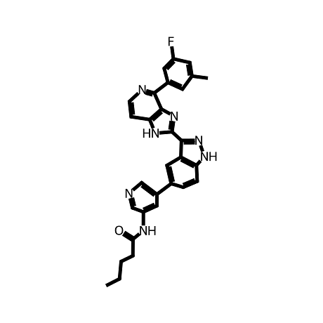 CCCCC(=O)Nc1cncc(-c2ccc3[nH]nc(-c4nc5c(-c6cc(C)cc(F)c6)nccc5[nH]4)c3c2)c1